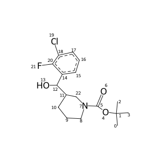 CC(C)(C)OC(=O)N1CCCC(C(O)c2cccc(Cl)c2F)C1